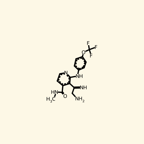 CNC(=O)c1ccnc(Nc2ccc(OC(F)(F)F)cc2)c1C(=N)CN